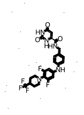 O=C1C[C@@H](C(=O)NCc2ccc(Nc3cc(F)c(N4CCC(C(F)(F)F)CC4)c(F)c3)cc2)NC(=O)N1